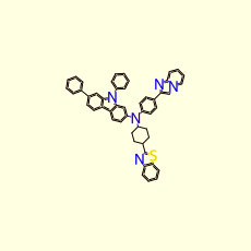 c1ccc(-c2ccc3c4ccc(N(c5ccc(-c6cn7ccccc7n6)cc5)C5CCC(c6nc7ccccc7s6)CC5)cc4n(-c4ccccc4)c3c2)cc1